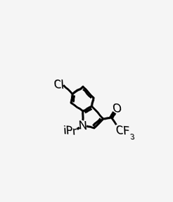 CC(C)n1cc(C(=O)C(F)(F)F)c2ccc(Cl)cc21